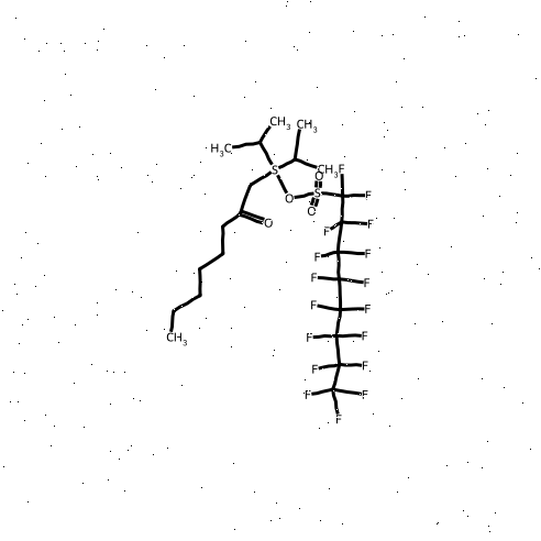 CCCCCCC(=O)CS(OS(=O)(=O)C(F)(F)C(F)(F)C(F)(F)C(F)(F)C(F)(F)C(F)(F)C(F)(F)C(F)(F)F)(C(C)C)C(C)C